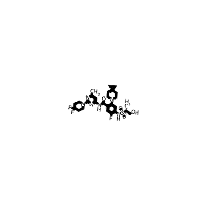 Cc1cc(NC(=O)c2cc(F)c(NS(=O)(=O)[C@H](C)CO)cc2N2CCC3(CC2)CC3)nc(N2CCC(F)(F)CC2)n1